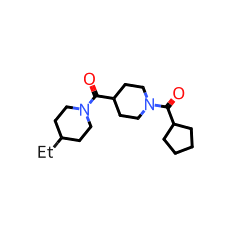 CCC1CCN(C(=O)C2CCN(C(=O)C3CCCC3)CC2)CC1